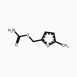 Cc1ccc(COC(N)=O)o1